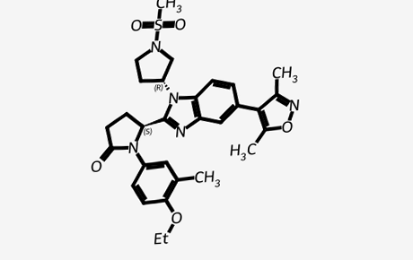 CCOc1ccc(N2C(=O)CC[C@H]2c2nc3cc(-c4c(C)noc4C)ccc3n2[C@@H]2CCN(S(C)(=O)=O)C2)cc1C